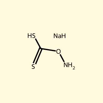 NOC(=S)S.[NaH]